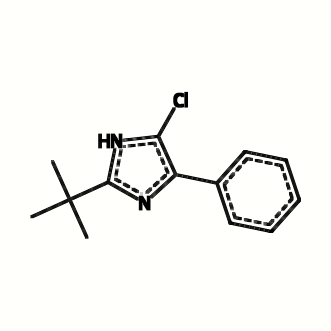 CC(C)(C)c1nc(-c2ccccc2)c(Cl)[nH]1